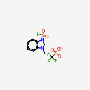 CN1CN(S(=O)(=O)F)c2ccccc21.O=S(=O)(O)C(F)(F)F